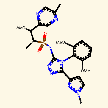 CCn1ccc(-c2nnc(NS(=O)(=O)[C@@H](C)C(OC)c3cnc(C)cn3)n2-c2c(OC)cccc2OC)n1